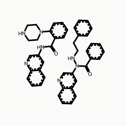 O=C(Nc1cnc2ccccc2c1)c1ccccc1N1CCNCC1.O=C(c1ccccc1)N(NCCc1ccccc1)c1cnc2ccccc2c1